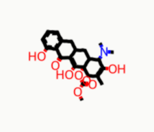 COC(=O)OC12C(=O)C(C)=C(O)C(N(C)C)C1CC1Cc3cccc(O)c3C(=O)C1=C2O